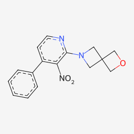 O=[N+]([O-])c1c(-c2ccccc2)ccnc1N1CC2(COC2)C1